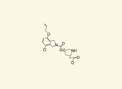 C=CCOc1ccc(Cl)c2c1CN(C(=O)O[C@H]1CN[C@H](C(=O)OC)C1)C2